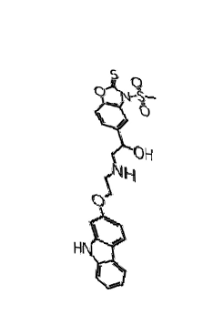 CS(=O)(=O)n1c(=S)oc2ccc(C(O)CNCCOc3ccc4c(c3)[nH]c3ccccc34)cc21